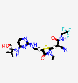 CCn1c(=C=C(C#N)C(=O)NCC(F)(F)F)sc(=C=CNc2nccc(N[C@@H](CO)C(C)C)n2)c1=O